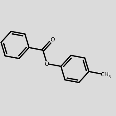 Cc1ccc(OC(=O)c2[c]cccc2)cc1